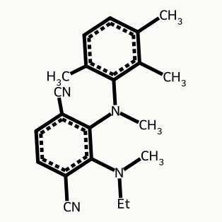 CCN(C)c1c(C#N)ccc(C#N)c1N(C)c1c(C)ccc(C)c1C